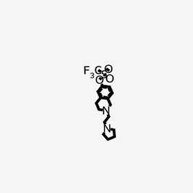 O=S(=O)(Oc1ccc2c(c1)CCN(CCN1CCCC1)C2)C(F)(F)F